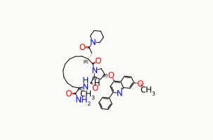 COc1ccc2c(O[C@@H]3C[C@H]4C(=O)N[C@@](C)(C(N)=O)CCCCCCCC[C@H](CC(=O)N5CCCCC5)C(=O)N4C3)cc(-c3ccccc3)nc2c1